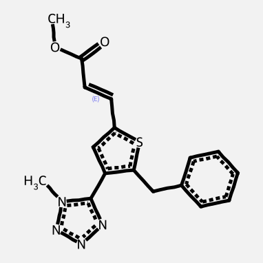 COC(=O)/C=C/c1cc(-c2nnnn2C)c(Cc2ccccc2)s1